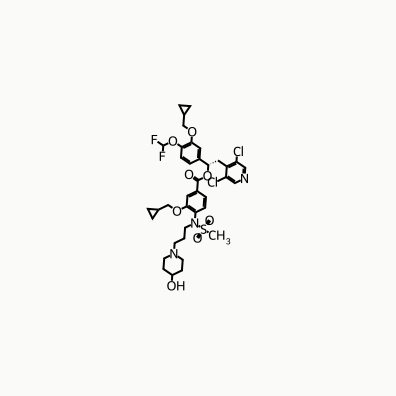 CS(=O)(=O)N(CCCN1CCC(O)CC1)c1ccc(C(=O)O[C@@H](Cc2c(Cl)cncc2Cl)c2ccc(OC(F)F)c(OCC3CC3)c2)cc1OCC1CC1